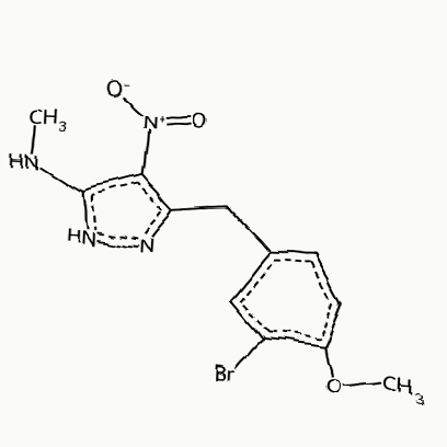 CNc1[nH]nc(Cc2ccc(OC)c(Br)c2)c1[N+](=O)[O-]